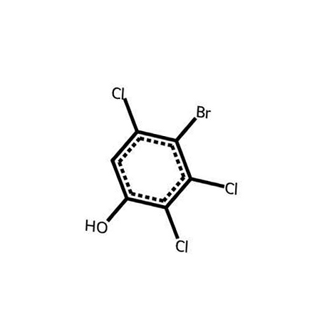 Oc1cc(Cl)c(Br)c(Cl)c1Cl